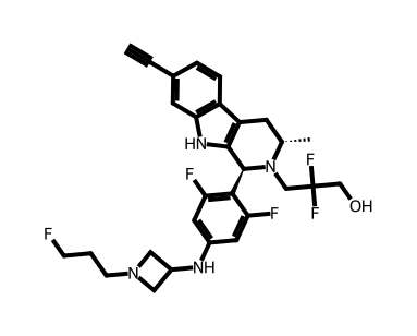 C#Cc1ccc2c3c([nH]c2c1)[C@H](c1c(F)cc(NC2CN(CCCF)C2)cc1F)N(CC(F)(F)CO)[C@@H](C)C3